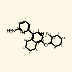 Nc1cccc(-c2ccc(OC3CCCCC3N)c3c2CCCC3)n1